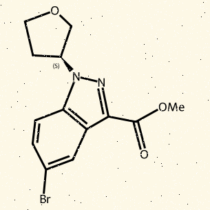 COC(=O)c1nn([C@H]2CCOC2)c2ccc(Br)cc12